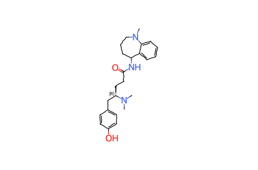 CN1CCCC(NC(=O)CC[C@H](Cc2ccc(O)cc2)N(C)C)c2ccccc21